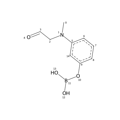 CN(CC=O)c1cccc(OB(O)O)c1